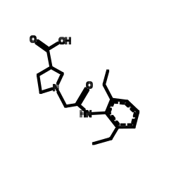 CCc1cccc(CC)c1NC(=O)CN1CCC(C(=O)O)C1